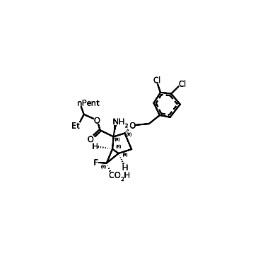 CCCCCC(CC)OC(=O)[C@@]1(N)[C@H]2[C@@H](C[C@H]1OCc1ccc(Cl)c(Cl)c1)[C@]2(F)C(=O)O